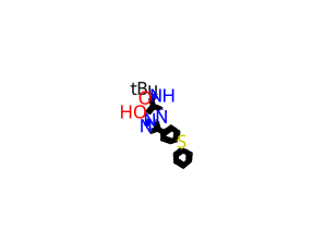 CC(C)(C)NC(=O)c1cnc2c(-c3ccc(Sc4ccccc4)cc3)cnn2c1O